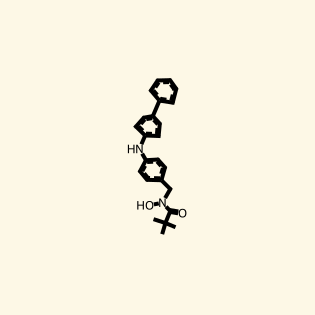 CC(C)(C)C(=O)N(O)Cc1ccc(Nc2ccc(-c3ccccc3)cc2)cc1